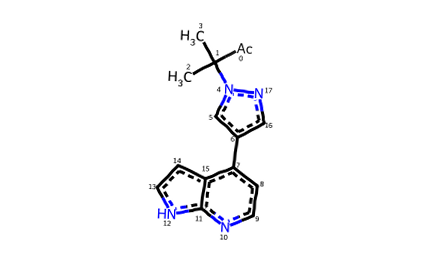 CC(=O)C(C)(C)n1cc(-c2ccnc3[nH]ccc23)cn1